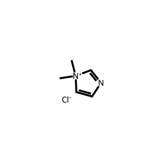 C[N+]1(C)C=CN=C1.[Cl-]